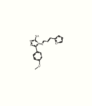 COc1ccc(-c2nnc(S)n2/N=C/C=C/c2ccco2)cc1